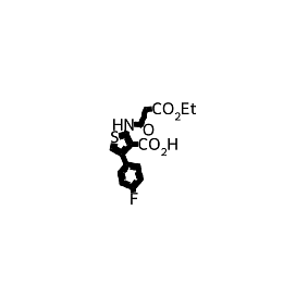 CCOC(=O)CC(=O)Nc1scc(-c2ccc(F)cc2)c1C(=O)O